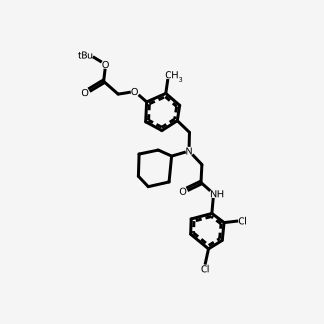 Cc1cc(CN(CC(=O)Nc2ccc(Cl)cc2Cl)C2CCCCC2)ccc1OCC(=O)OC(C)(C)C